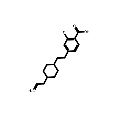 C=CCC1CCC(CCc2ccc(C(=O)O)c(F)c2)CC1